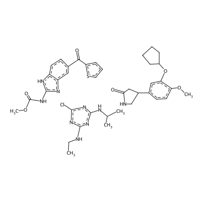 CCNc1nc(Cl)nc(NC(C)C)n1.COC(=O)Nc1nc2cc(C(=O)c3cccs3)ccc2[nH]1.COc1ccc(C2CNC(=O)C2)cc1OC1CCCC1